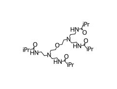 CC(C)C(=O)NCCN(CCNC(=O)C(C)C)CCOCCN(CCNC(=O)C(C)C)CCNC(=O)C(C)C